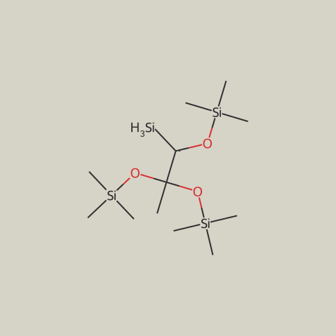 CC(O[Si](C)(C)C)(O[Si](C)(C)C)[C]([SiH3])O[Si](C)(C)C